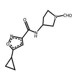 O=CN1CCC(NC(=O)c2cc(C3CC3)on2)C1